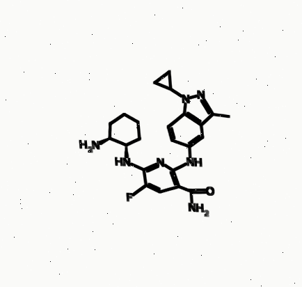 Cc1nn(C2CC2)c2ccc(Nc3nc(N[C@@H]4CCCC[C@@H]4N)c(F)cc3C(N)=O)cc12